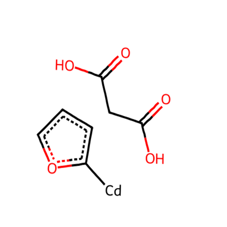 O=C(O)CC(=O)O.[Cd][c]1ccco1